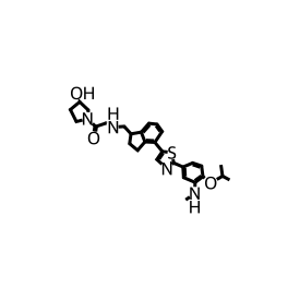 CNc1cc(-c2ncc(-c3cccc4c3CCC4CNCC(=O)N3CC[C@H](O)C3)s2)ccc1OC(C)C